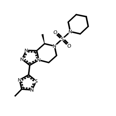 Cc1nsc(-c2nnc3n2CCN(S(=O)(=O)N2CCCCC2)[C@@H]3C)n1